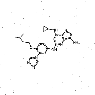 CN(C)CCOc1ccc(Nc2cc(NC3CC3)c3ncc(N)n3n2)cc1-n1cnnc1